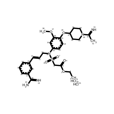 CCOC(=O)CS(=O)(=O)N(C/C=C/c1cccc(C(=N)N)c1)c1ccc(OC2CCN(C(C)=N)CC2)c(OC)c1.Cl.Cl